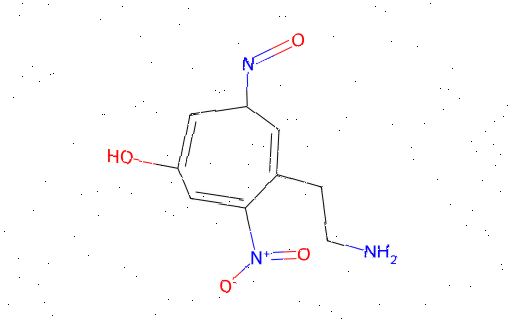 NCCC1=CC(N=O)C=C(O)C=C1[N+](=O)[O-]